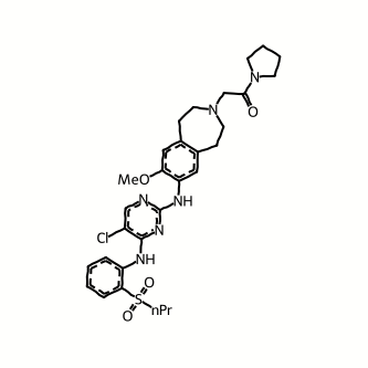 CCCS(=O)(=O)c1ccccc1Nc1nc(Nc2cc3c(cc2OC)CCN(CC(=O)N2CCCC2)CC3)ncc1Cl